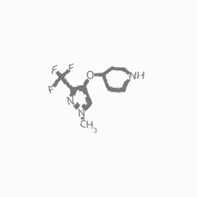 Cn1cc(OC2CCNCC2)c(C(F)(F)F)n1